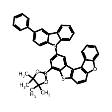 CC1(C)OB(c2cc(-n3c4ccccc4c4cc(-c5ccccc5)ccc43)cc3c2sc2ccc4oc5ccccc5c4c23)OC1(C)C